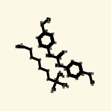 CCCCCCCCCCCCCCCC[N+](C)(C)CC.CCOc1ccc(NC(=S)Nc2ccc(OCC)cc2)cc1